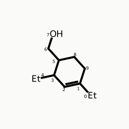 CCC1=CC(CC)C(CO)CC1